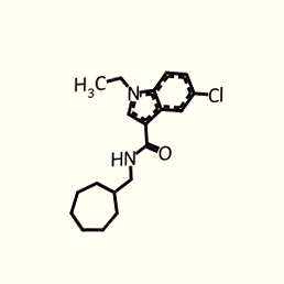 CCn1cc(C(=O)NCC2CCCCCC2)c2cc(Cl)ccc21